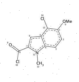 COc1ccc2c(cc(C(=O)Cl)n2C)c1Cl